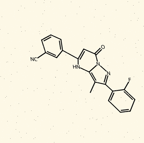 Cc1c(-c2ccccc2F)nn2c(=O)cc(-c3cccc(C#N)c3)[nH]c12